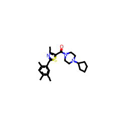 Cc1cc(C)c(-c2nc(C)c(C(=O)N3CCN(C4CCCC4)CC3)s2)cc1C